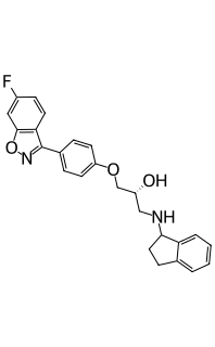 O[C@H](CNC1CCc2ccccc21)COc1ccc(-c2noc3cc(F)ccc23)cc1